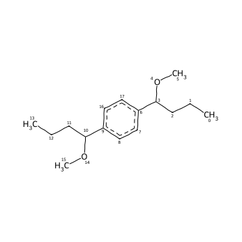 CCCC(OC)c1ccc(C(CCC)OC)cc1